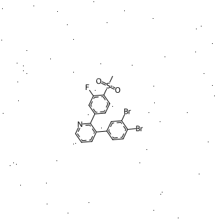 CS(=O)(=O)c1ccc(-c2ncccc2-c2ccc(Br)c(Br)c2)cc1F